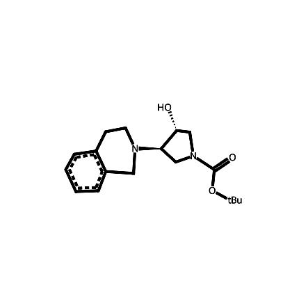 CC(C)(C)OC(=O)N1C[C@@H](O)[C@H](N2CCc3ccccc3C2)C1